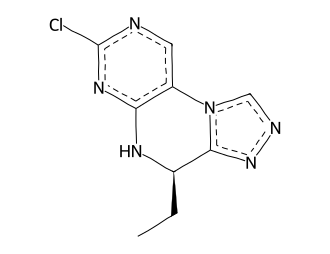 CC[C@H]1Nc2nc(Cl)ncc2-n2cnnc21